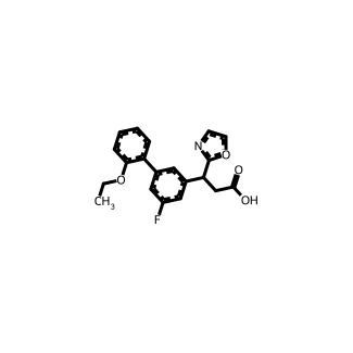 CCOc1ccccc1-c1cc(F)cc(C(CC(=O)O)c2ncco2)c1